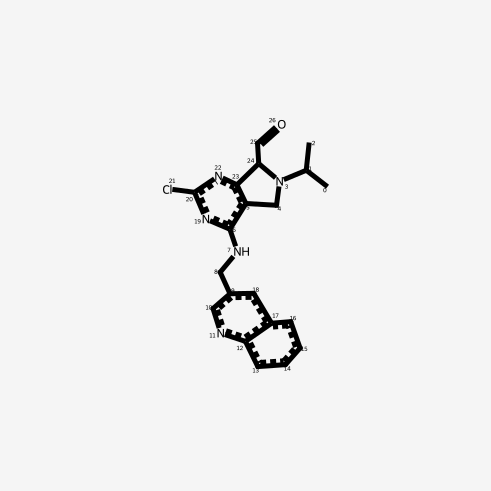 CC(C)N1Cc2c(NCc3cnc4ccccc4c3)nc(Cl)nc2C1C=O